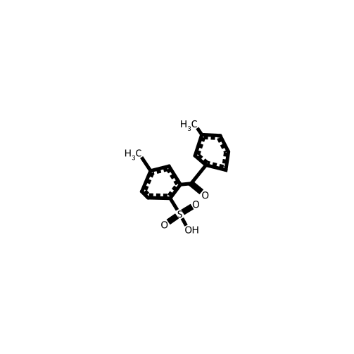 Cc1cccc(C(=O)c2cc(C)ccc2S(=O)(=O)O)c1